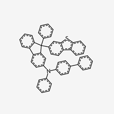 c1ccc(-c2ccc(N(c3ccccc3)c3ccc4c(c3)C(c3ccccc3)(c3ccc5c(c3)sc3ccccc35)c3ccccc3-4)cc2)cc1